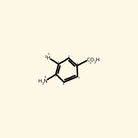 [2H]c1cc(C(=O)O)ccc1N